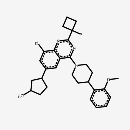 COc1ccccc1C1CCN(c2nc(C3(F)CCC3)nc3c(Cl)cc(C4CCC(O)C4)cc23)CC1